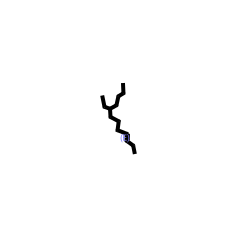 CC/C=C/CCCC(CC)CCCC